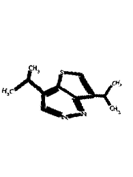 CC(C)c1csc2c(C(C)C)cnnc12